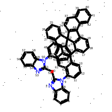 Cc1nc2ccccc2n1-c1cccc2c(-c3cccc4c3C3(c5ccccc5-c5ccccc53)c3ccc5ccccc5c3-4)c3cccc(-n4c(C)nc5ccccc54)c3cc12